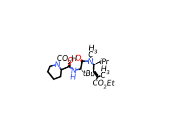 CCOC(=O)C(C)=C[C@H](C(C)C)N(C)C(=O)[C@@H](NC(=O)C1CCCCN1C(=O)O)C(C)(C)C